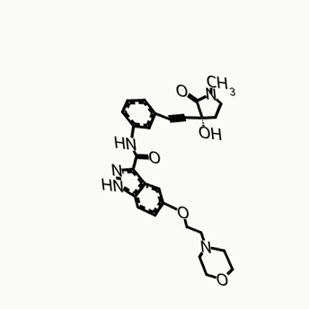 CN1CC[C@@](O)(C#Cc2cccc(NC(=O)c3n[nH]c4ccc(OCCN5CCOCC5)cc34)c2)C1=O